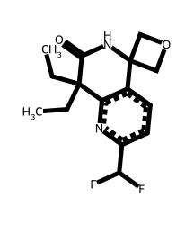 CCC1(CC)C(=O)NC2(COC2)c2ccc(C(F)F)nc21